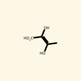 CC(O)=C(O)C(=O)O